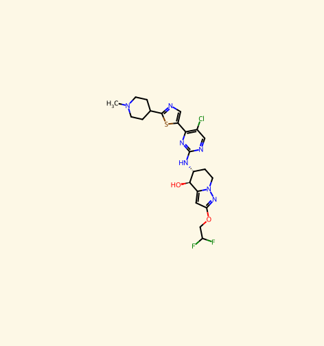 CN1CCC(c2ncc(-c3nc(N[C@@H]4CCn5nc(OCC(F)F)cc5[C@H]4O)ncc3Cl)s2)CC1